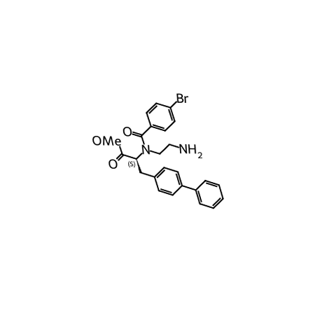 COC(=O)[C@H](Cc1ccc(-c2ccccc2)cc1)N(CCN)C(=O)c1ccc(Br)cc1